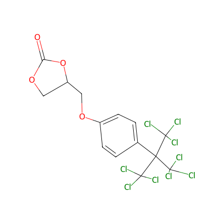 O=C1OCC(COc2ccc(C(C(Cl)(Cl)Cl)(C(Cl)(Cl)Cl)C(Cl)(Cl)Cl)cc2)O1